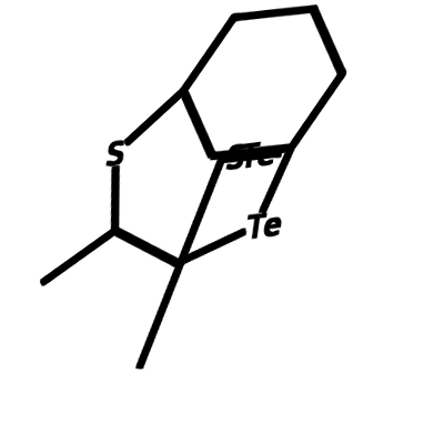 CC1C[Te]C23CCCC(S1)C2SC(C)C[Te]3